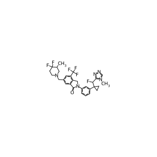 CC1CN(Cc2cc3c(c(C(F)(F)F)c2)CN(c2cccc(C4(C(F)c5nncn5C)CC4)c2)C3=O)CCC1(F)F